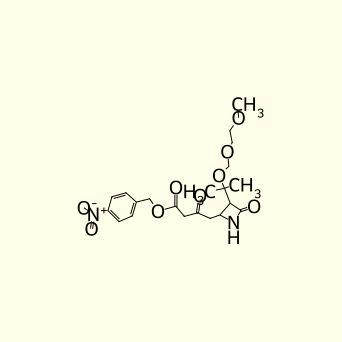 COCCOCOC(C)(C)C1C(=O)NC1CC(=O)CC(=O)OCc1ccc([N+](=O)[O-])cc1